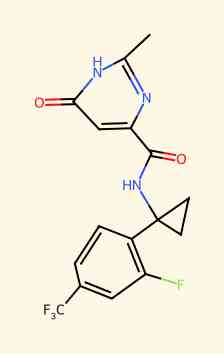 Cc1nc(C(=O)NC2(c3ccc(C(F)(F)F)cc3F)CC2)cc(=O)[nH]1